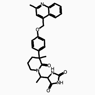 Cc1cc(COc2ccc(C3(C)CCCN(C(C)C4NC(=O)NC4=O)C3=O)cc2)c2ccccc2n1